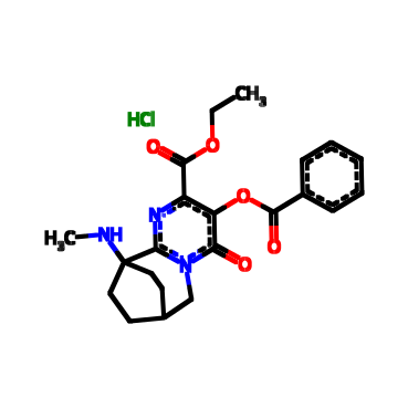 CCOC(=O)c1nc2n(c(=O)c1OC(=O)c1ccccc1)CC1CCC2(NC)CC1.Cl